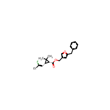 CC/C(F)=C/[C@H]1[C@@H](C(=O)OCc2coc(Cc3ccccc3)c2)C1(C)C